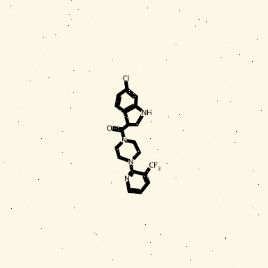 O=C(C1CNc2cc(Cl)ccc21)N1CCN(c2ncccc2C(F)(F)F)CC1